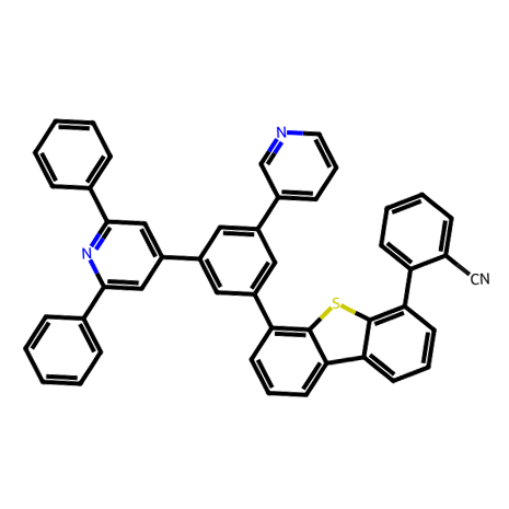 N#Cc1ccccc1-c1cccc2c1sc1c(-c3cc(-c4cccnc4)cc(-c4cc(-c5ccccc5)nc(-c5ccccc5)c4)c3)cccc12